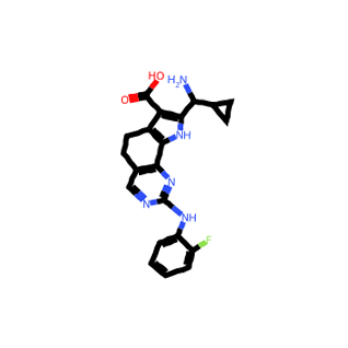 NC(c1[nH]c2c(c1C(=O)O)CCc1cnc(Nc3ccccc3F)nc1-2)C1CC1